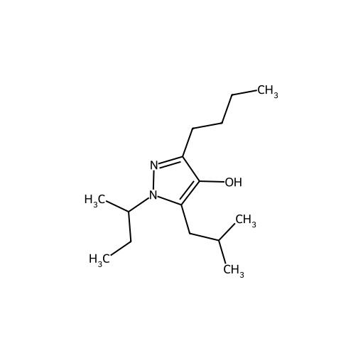 CCCCc1nn(C(C)CC)c(CC(C)C)c1O